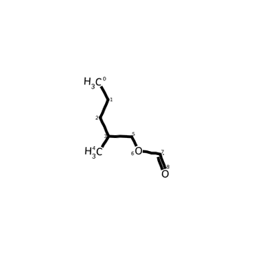 CCCC(C)CO[C]=O